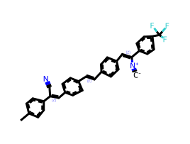 [C-]#[N+]/C(=C\c1ccc(/C=C/c2ccc(/C=C(\C#N)c3ccc(C)cc3)cc2)cc1)c1ccc(C(F)(F)F)cc1